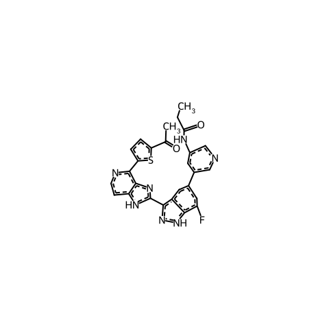 CCC(=O)Nc1cncc(-c2cc(F)c3[nH]nc(-c4nc5c(-c6ccc(C(C)=O)s6)nccc5[nH]4)c3c2)c1